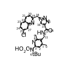 Cc1cc(N(C(=O)O)C(C)(C)C)nc(C)c1CNC(=O)c1cn(Cc2ccc3ccc(Cl)cc3n2)nn1